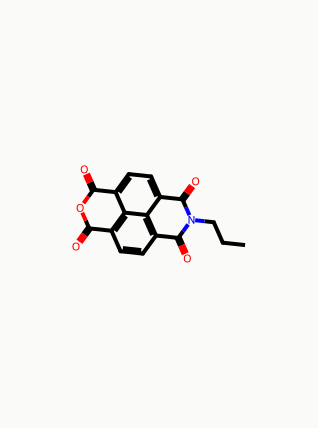 CCCN1C(=O)c2ccc3c4c(ccc(c24)C1=O)C(=O)OC3=O